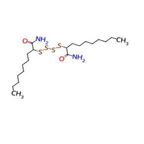 CCCCCCCCC(SSSSC(CCCCCCCC)C(N)=O)C(N)=O